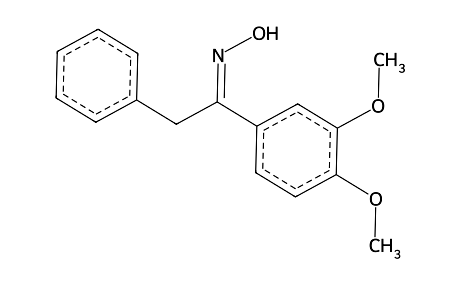 COc1ccc(/C(Cc2ccccc2)=N\O)cc1OC